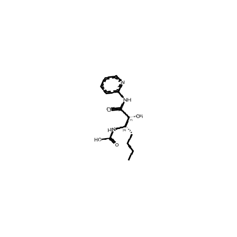 CCCC[C@H](NC(=O)O)[C@@H](O)C(=O)Nc1ccccn1